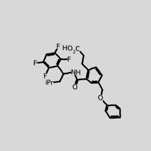 CC(C)CC(NC(=O)c1cc(COc2ccccc2)ccc1CCC(=O)O)c1c(F)c(F)cc(F)c1F